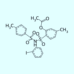 CC(=O)Oc1cc(C)ccc1S(=O)(=O)NS(=O)(=O)c1ccc(C)cc1.Ic1ccccc1